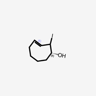 O[C@@H]1CCCC/C=C/C1I